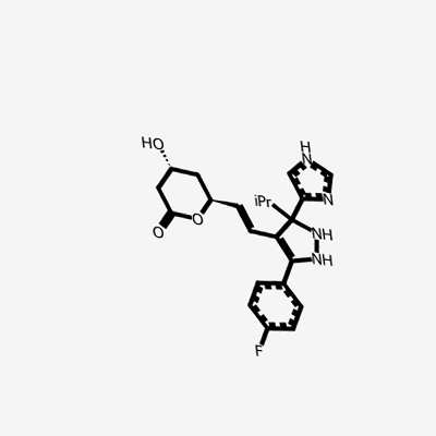 CC(C)C1(c2c[nH]cn2)NNC(c2ccc(F)cc2)=C1/C=C/[C@@H]1C[C@@H](O)CC(=O)O1